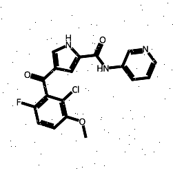 COc1ccc(F)c(C(=O)c2c[nH]c(C(=O)Nc3cccnc3)c2)c1Cl